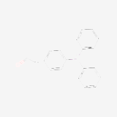 O=[CH][Rh].c1ccc([PH2](c2ccccc2)c2ccccc2)cc1